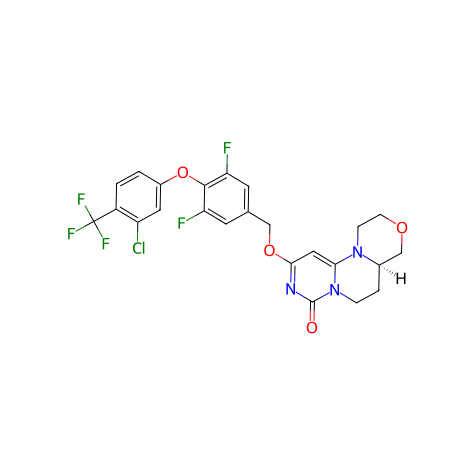 O=c1nc(OCc2cc(F)c(Oc3ccc(C(F)(F)F)c(Cl)c3)c(F)c2)cc2n1CC[C@@H]1COCCN21